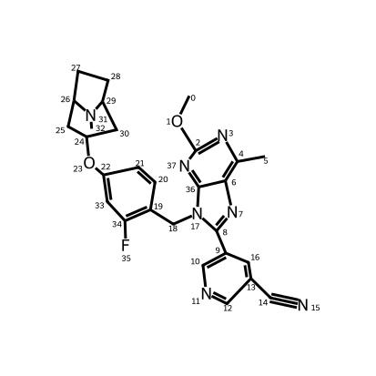 COc1nc(C)c2nc(-c3cncc(C#N)c3)n(Cc3ccc(OC4CC5CCC(C4)N5C)cc3F)c2n1